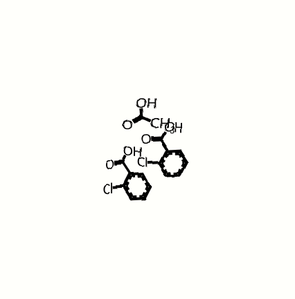 CC(=O)O.O=C(O)c1ccccc1Cl.O=C(O)c1ccccc1Cl